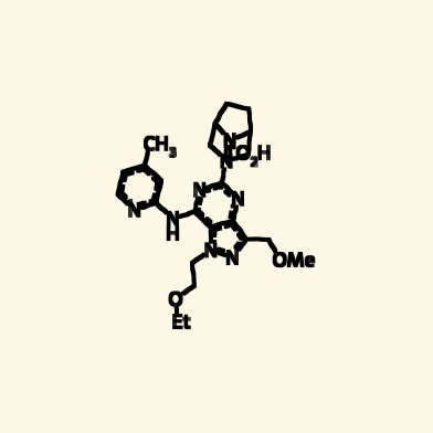 CCOCCn1nc(COC)c2nc(N3CC4CCC(C3)N4C(=O)O)nc(Nc3cc(C)ccn3)c21